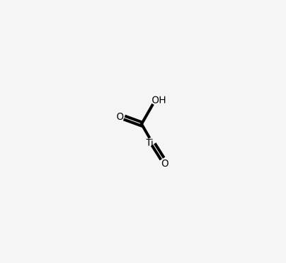 [O]=[Ti][C](=O)O